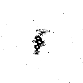 CC1(C)c2cc(OC[C@@H](O)CO)ccc2C(=O)c2c1[nH]c1cc(-c3nccs3)ccc21